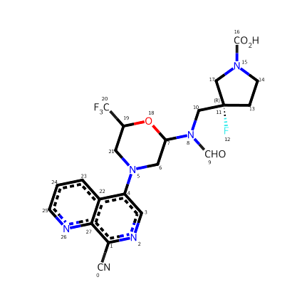 N#Cc1ncc(N2CC(N(C=O)C[C@]3(F)CCN(C(=O)O)C3)OC(C(F)(F)F)C2)c2cccnc12